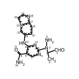 CC(C=O)N(N)c1ncc(C(N)=O)c(Nc2ccc3nccn3c2)n1